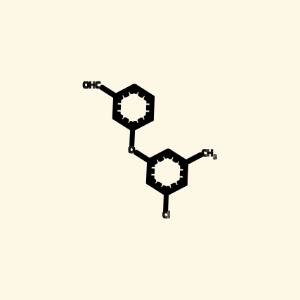 Cc1cc(Cl)cc(Oc2cccc(C=O)c2)c1